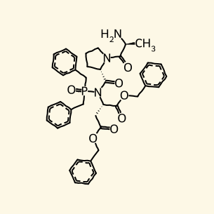 C[C@H](N)C(=O)N1CCC[C@H]1C(=O)N([C@@H](CC(=O)OCc1ccccc1)C(=O)OCc1ccccc1)P(=O)(Cc1ccccc1)Cc1ccccc1